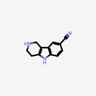 N#Cc1ccc2[nH]c3c(c2c1)CNCC3